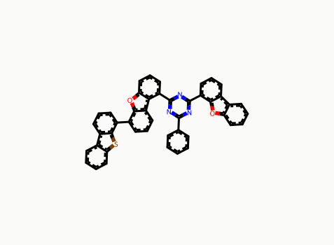 c1ccc(-c2nc(-c3cccc4c3oc3ccccc34)nc(-c3cccc4oc5c(-c6cccc7c6sc6ccccc67)cccc5c34)n2)cc1